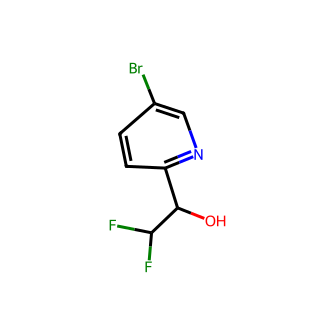 OC(c1ccc(Br)cn1)C(F)F